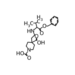 CC(C)C(NCCC1(C(=O)O)CCN(C(=O)O)CC1)C(=O)OCc1ccccc1